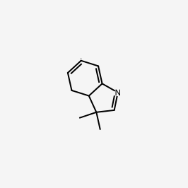 CC1(C)C=NC2=C[C]=CCC21